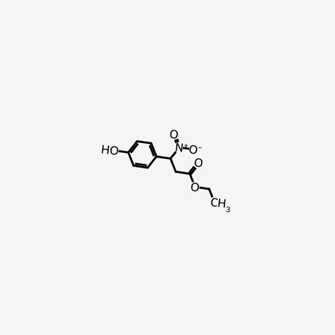 CCOC(=O)CC(c1ccc(O)cc1)[N+](=O)[O-]